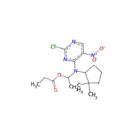 CCC(=O)OC(C)N(c1nc(Cl)ncc1[N+](=O)[O-])C1CCCC1(C)C